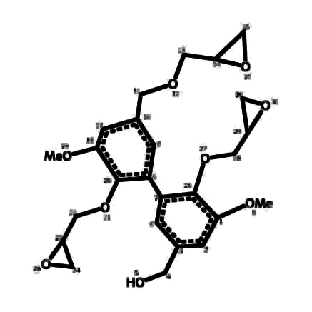 COc1cc(CO)cc(-c2cc(COCC3CO3)cc(OC)c2OCC2CO2)c1OCC1CO1